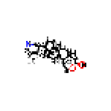 CCc1cncc(C2=CC[C@H]3[C@@H]4CC[C@H]5CC(=O)OCC[C@]5(C)[C@H]4CC[C@]23C)c1